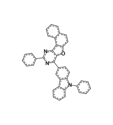 c1ccc(-c2nc(-c3ccc4c(c3)c3ccccc3n4-c3ccccc3)c3oc4ccc5ccccc5c4c3n2)cc1